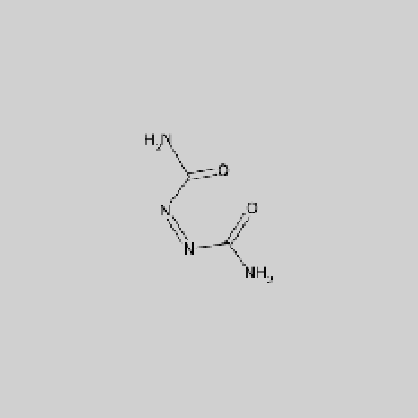 NC(=O)/N=N\C(N)=O